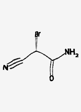 N#C[C@H](Br)C(N)=O